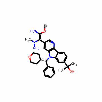 CCO/C(N)=C(\c1cnc2c3ccc(C(C)(C)O)cc3n([C@H](c3ccccc3)C3CCOCC3)c2c1)N(C)N